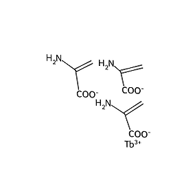 C=C(N)C(=O)[O-].C=C(N)C(=O)[O-].C=C(N)C(=O)[O-].[Tb+3]